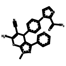 Cn1nc(-c2cccnc2)c2c1OC(N)=C(C#N)C2c1ccc(-n2ccnc2C(N)=O)cc1